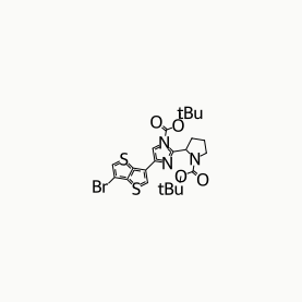 CC(C)(C)OC(=O)N1CCCC1c1nc(-c2csc3c(Br)csc23)cn1C(=O)OC(C)(C)C